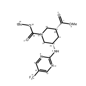 COC(=O)[C@@H]1C[C@H](Nc2ncc(C(F)(F)F)cn2)CN(C(=O)OC(C)(C)C)C1